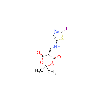 CC1(C)OC(=O)C(=CNc2cnc(I)s2)C(=O)O1